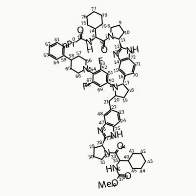 CCCC(=O)N[C@H](C(=O)N1CCC[C@H]1c1nc2cc([C@H]3CCC(Cc4ccc5[nH]c([C@@H]6CCCN6C(=O)C(NC(=O)OC)C6CCCCC6)nc5c4)N3c3cc(F)c(N4CCC(c5ccccc5)CC4)c(F)c3)ccc2[nH]1)C1CCCCC1